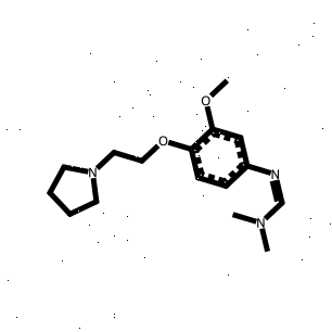 COc1cc(/N=C\N(C)C)ccc1OCCN1CCCC1